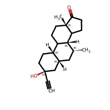 C#C[C@]1(O)CC[C@@H]2C3CC[C@]4(C)C(=O)CCC4[C@@H]3[C@H](C)C[C@@H]2C1